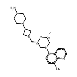 C[C@@H]1CN(c2ccc(C#N)c3ncccc23)C[C@@H](CN2CC(N3CCC(N)CC3)C2)O1